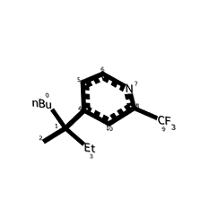 CCCCC(C)(CC)c1ccnc(C(F)(F)F)c1